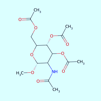 CO[C@@H]1OC(COC(C)=O)[C@H](OC(C)=O)C(OC(C)=O)C1NC(C)=O